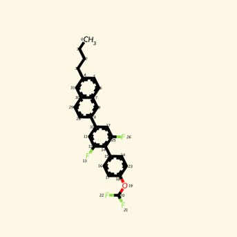 CCCCc1ccc2cc(-c3cc(F)c(-c4ccc(OC(F)F)cc4)c(F)c3)ccc2c1